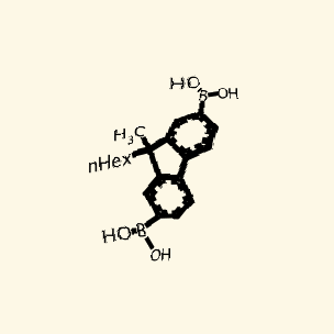 CCCCCCC1(C)c2cc(B(O)O)ccc2-c2ccc(B(O)O)cc21